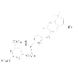 CNc1nc(OC)c(NC(=O)c2ccc(Oc3cc4c(cc3C)[Si](C)(C)CC4C(C)C)o2)c(OC)n1